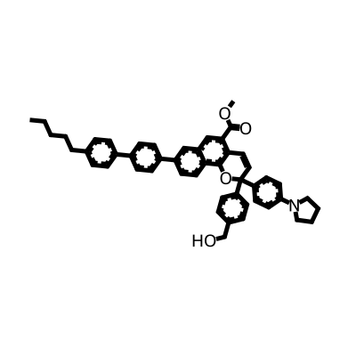 CCCCCc1ccc(-c2ccc(-c3ccc4c5c(c(C(=O)OC)cc4c3)C=CC(c3ccc(CO)cc3)(c3ccc(N4CCCC4)cc3)O5)cc2)cc1